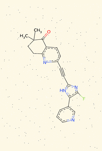 CC1(C)CCc2nc(C#Cc3nc(F)c(-c4cccnc4)[nH]3)ccc2C1=O